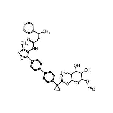 Cc1noc(-c2ccc(-c3ccc(C4(C(=O)OC5OC(OC=O)C(O)C(O)C5O)CC4)cc3)cc2)c1NC(=O)O[C@H](C)c1ccccc1